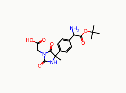 CC(C)(C)OC(=O)C(N)c1ccc(C2(C)NC(=O)N(CC(=O)O)C2=O)cc1